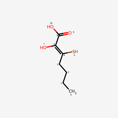 CCCC/C(S)=C(\O)C(=O)O